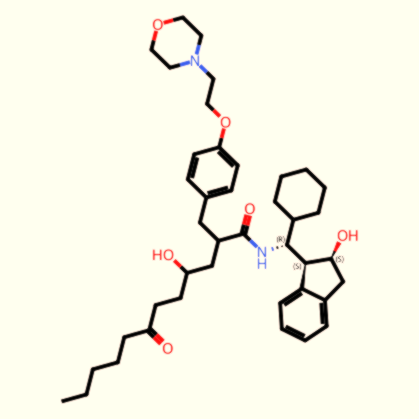 CCCCCC(=O)CCC(O)CC(Cc1ccc(OCCN2CCOCC2)cc1)C(=O)N[C@H](C1CCCCC1)[C@@H]1c2ccccc2C[C@@H]1O